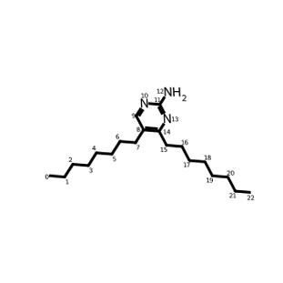 CCCCCCCCc1cnc(N)nc1CCCCCCCC